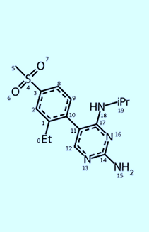 CCc1cc(S(C)(=O)=O)ccc1-c1cnc(N)nc1NC(C)C